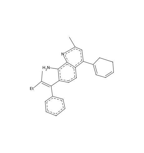 CC/C(C)=C(\c1ccccc1)c1ccc2c(C3=CC=CCC3)cc(C)nc2c1N